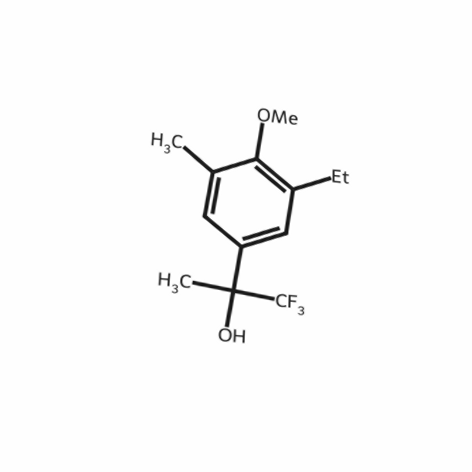 CCc1cc(C(C)(O)C(F)(F)F)cc(C)c1OC